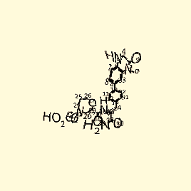 CN1C(=O)CNc2ccc(-c3ccc(C[C@H](NC(=O)[C@@H]4CN(OC(=O)O)CCCO4)C(N)=O)cc3)cc21